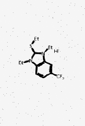 CCSC1N(CC)c2ccc(C(F)(F)F)cc2N1CC.I